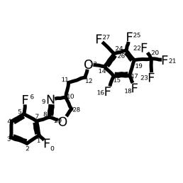 Fc1cccc(F)c1C1=NC(CCOc2c(F)c(F)c(C(F)(F)F)c(F)c2F)CO1